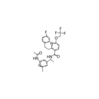 CC(=O)Nc1cc(C(C)NC(=O)c2ccc(OCC(F)(F)F)nc2CCc2ccc(F)cc2)cc(C)n1